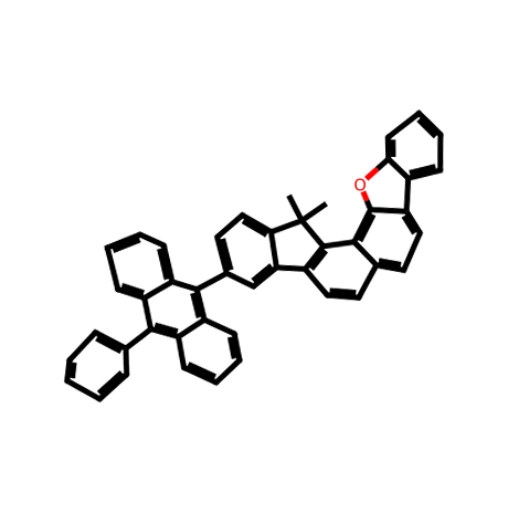 CC1(C)c2ccc(-c3c4ccccc4c(-c4ccccc4)c4ccccc34)cc2-c2ccc3ccc4c5ccccc5oc4c3c21